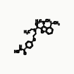 CCc1cccc2oc(C(=O)N(CC)CCOc3ccc(C(=O)NO)cc3)c(N(C)C)c12